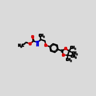 CCOC(=O)NC(C)COc1ccc(B2OC(C)(C)C(C)(C)O2)cc1